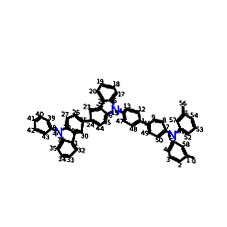 Cc1cccc(N(c2ccc(-c3ccc(-n4c5ccccc5c5cc(-c6ccc7c(c6)c6ccccc6n7-c6ccccc6)ccc54)cc3)cc2)c2cccc(C)c2)c1